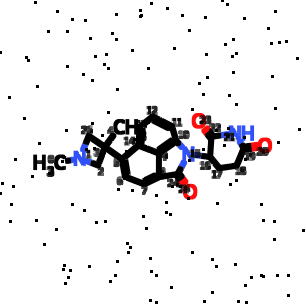 CN1CC(C)(c2ccc3c4c(cccc24)N(C2CCC(=O)NC2=O)C3=O)C1